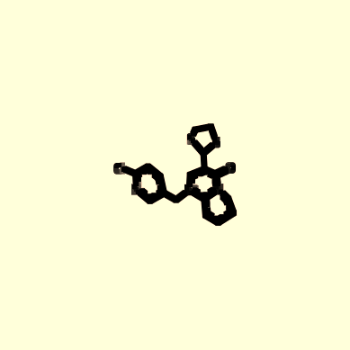 O=c1c(C2SCCS2)c[n+](Cc2ccc(Cl)nc2)c2ccccn12